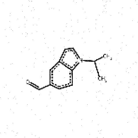 CC(C)n1ccc2cc(C=O)ccc21